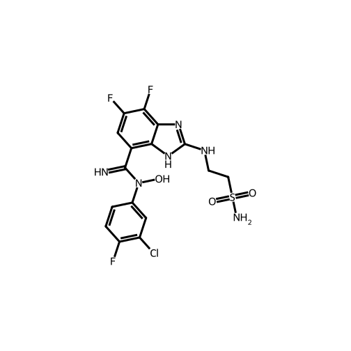 N=C(c1cc(F)c(F)c2nc(NCCS(N)(=O)=O)[nH]c12)N(O)c1ccc(F)c(Cl)c1